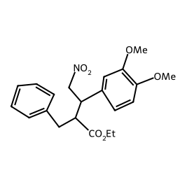 CCOC(=O)C(Cc1ccccc1)C(C[N+](=O)[O-])c1ccc(OC)c(OC)c1